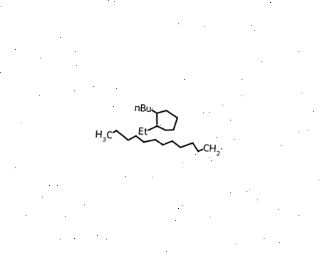 [CH2]CCCC1CCCCC1CC.[CH2]CCCCCCCCCCC